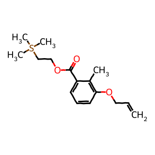 C=CCOc1cccc(C(=O)OCCS(C)(C)C)c1C